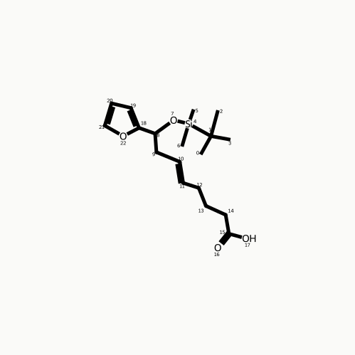 CC(C)(C)[Si](C)(C)OC(CC=CCCCC(=O)O)c1ccco1